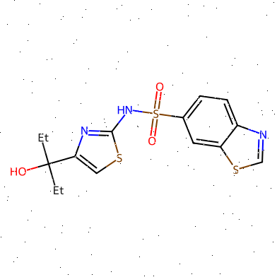 CCC(O)(CC)c1csc(NS(=O)(=O)c2ccc3ncsc3c2)n1